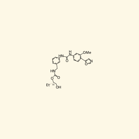 CC[C@@H](CO)OC(=O)NCc1cccc(NC(=O)Nc2ccc(-c3cnco3)c(OC)c2)c1